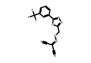 N#CC(C#N)=NOCc1nnc(-c2cccc(C(F)(F)F)c2)o1